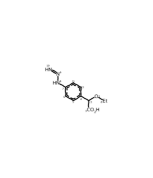 CCOC(C(=O)O)c1ccc(NN=N)cc1